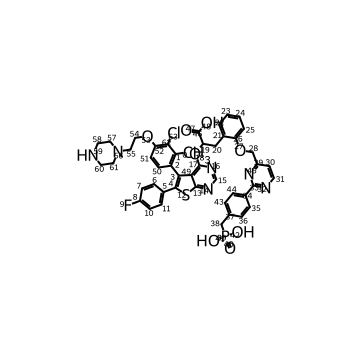 Cc1c(-c2c(-c3ccc(F)cc3)sc3ncnc(OC(Cc4ccccc4OCc4ccnc(-c5ccc(CP(=O)(O)O)cc5)n4)C(=O)O)c23)ccc(OCCN2CCNCC2)c1Cl